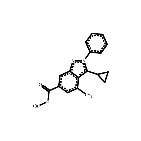 Cc1cc(C(=O)OC(C)(C)C)cc2nn(-c3ccccc3)c(C3CC3)c12